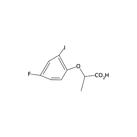 CC(Oc1ccc(F)cc1I)C(=O)O